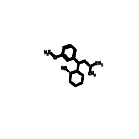 COc1cccc(C(CN(C)C)[C@H]2CCCC[C@@H]2O)c1